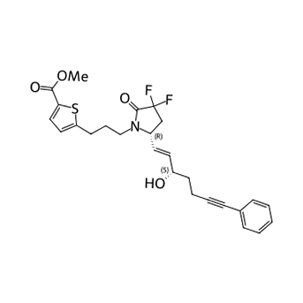 COC(=O)c1ccc(CCCN2C(=O)C(F)(F)C[C@@H]2C=C[C@@H](O)CCC#Cc2ccccc2)s1